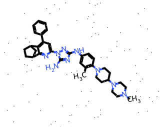 Cc1cc(Nc2nc(N)n(-c3cc(-c4ccccc4)c4c(n3)C3CCC4C3)n2)ccc1N1CCC(N2CCN(C)CC2)CC1